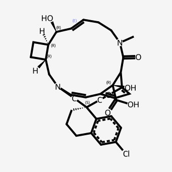 CN1CC/C=C/[C@H](O)[C@@H]2CC[C@H]2CN2C=CC3=CC=C(OC[C@]4(CCCc5cc(Cl)ccc54)C2)C(C1=O)[C@]3(O)C(=O)O